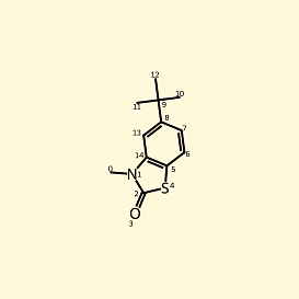 Cn1c(=O)sc2ccc(C(C)(C)C)cc21